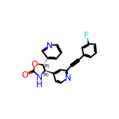 O=C1N[C@H](c2ccnc(C#Cc3cccc(F)c3)c2)[C@@H](c2cccnc2)O1